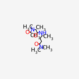 CC(=O)N(C)[C@@H](C)C(=O)N[C@@H](C)CCC(=O)N(C)C